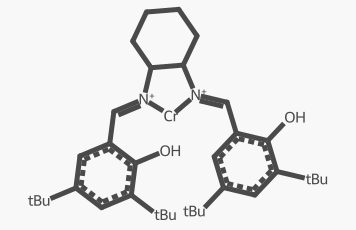 CC(C)(C)c1cc(C=[N+]2[Cr][N+](=Cc3cc(C(C)(C)C)cc(C(C)(C)C)c3O)C3CCCCC32)c(O)c(C(C)(C)C)c1